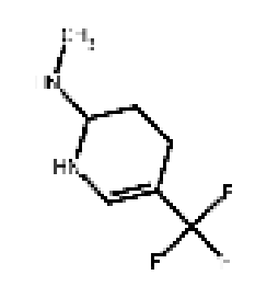 CNC1CCC(C(F)(F)F)=CN1